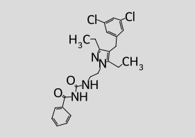 CCc1nn(CCNC(=O)NC(=O)c2ccccc2)c(CC)c1Cc1cc(Cl)cc(Cl)c1